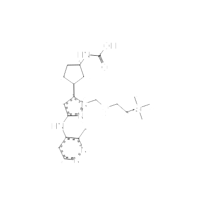 Cc1nnccc1Nc1cc(C2CCC(NC(=O)O)C2)n(COCC[Si](C)(C)C)n1